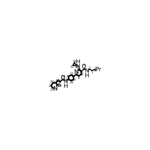 CC(C)CCNC(=O)c1ccc(-c2ccc(NC(=O)c3cc4cccnc4s3)cc2)nc1NC1CC1